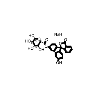 O=C1OC(c2ccc(O)cc2)(c2ccc(OC(=O)[C@H]3O[C@@H](O)[C@H](O)[C@@H](O)[C@@H]3O)cc2)c2ccccc21.[NaH]